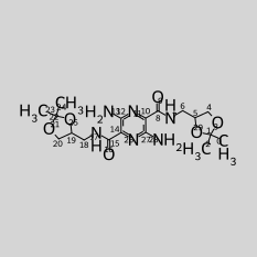 CC1(C)OCC(CNC(=O)c2nc(N)c(C(=O)NCC3COC(C)(C)O3)nc2N)O1